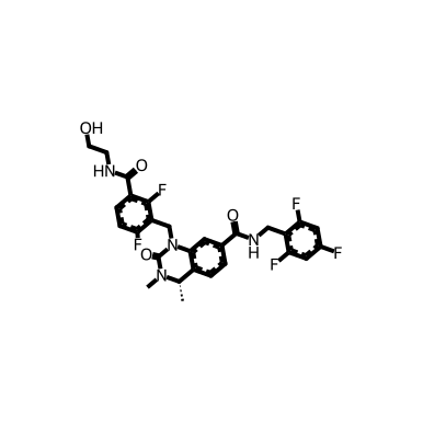 C[C@H]1c2ccc(C(=O)NCc3c(F)cc(F)cc3F)cc2N(Cc2c(F)ccc(C(=O)NCCO)c2F)C(=O)N1C